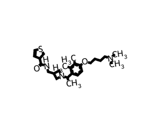 Cc1c(OCCCCN(C)C)ccc(C(C)N2CC(CNC(=O)C3C=CSC3)C2)c1C